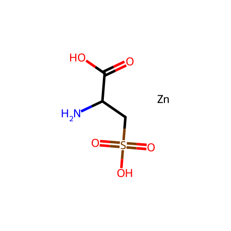 NC(CS(=O)(=O)O)C(=O)O.[Zn]